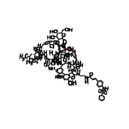 CN[C@H](CC(C)C)C(=O)N[C@H]1C(=O)N[C@@H](CC(N)=O)C(=O)NC2C(=O)N[C@H]3C(=O)N[C@H](C(=O)NC(C(=O)NCCNC(=O)/C=C/c4ccc(NS(=O)(=O)c5ccccc5)cc4)c4cc(O)cc(O)c4-c4cc3ccc4O)[C@H](O)c3ccc(c(Cl)c3)Oc3cc2cc(c3O[C@@H]2O[C@H](CO)[C@@H](O)[C@H](O)[C@H]2OC2C[C@](C)(N)[C@H](O)[C@H](C)O2)Oc2ccc(cc2Cl)[C@H]1O